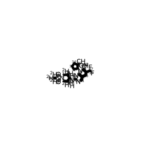 [2H]C1([2H])CN(S(=O)(=O)C([2H])([2H])[2H])CC([2H])([2H])C1([2H])Nc1ncc2cc(C(F)F)c(=O)n([C@@H]3CCC[C@@]3(C)O)c2n1